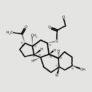 CC(=O)[C@H]1CC[C@H]2[C@@H]3CC[C@H]4C[C@H](O)CC[C@@H]4[C@H]3[C@@H](OC(=O)CCl)C[C@]12C